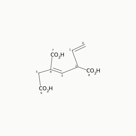 C=CC(C=C(CC(=O)O)C(=O)O)C(=O)O